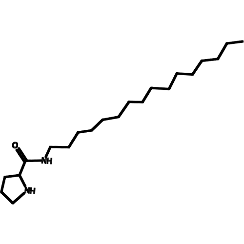 CCCCCCCCCCCCCCCCNC(=O)C1CCCN1